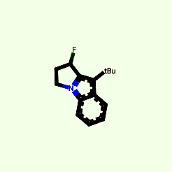 CC(C)(C)c1c2n(c3ccccc13)CCC2F